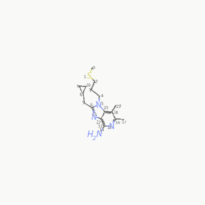 CSCCCn1c(CC2CC2)nc2c(N)nc(C)c(C)c21